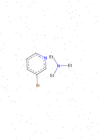 Brc1cccnc1.CCN(CC)CC